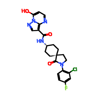 O=C(N[C@H]1CC[C@@]2(CCN(c3ccc(F)cc3Cl)C2=O)CC1)c1cnn2c(O)ccnc12